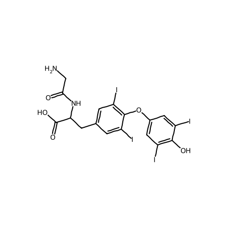 NCC(=O)NC(Cc1cc(I)c(Oc2cc(I)c(O)c(I)c2)c(I)c1)C(=O)O